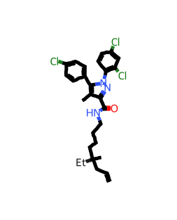 C=CCC(C)(CC)CCCCNC(=O)c1nn(-c2ccc(Cl)cc2Cl)c(-c2ccc(Cl)cc2)c1C